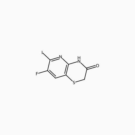 O=C1CSc2cc(F)c(I)nc2N1